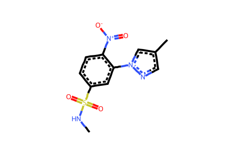 CNS(=O)(=O)c1ccc([N+](=O)[O-])c(-n2cc(C)cn2)c1